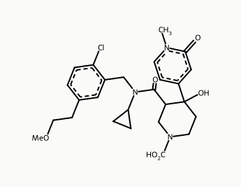 COCCc1ccc(Cl)c(CN(C(=O)C2CN(C(=O)O)CCC2(O)c2ccn(C)c(=O)c2)C2CC2)c1